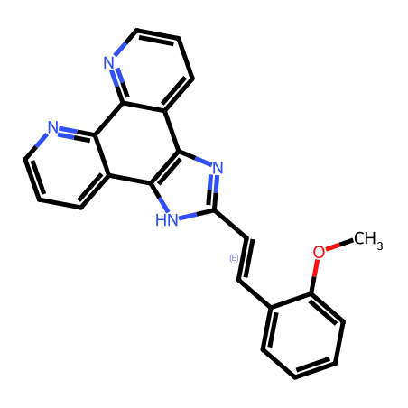 COc1ccccc1/C=C/c1nc2c3cccnc3c3ncccc3c2[nH]1